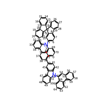 c1ccc(N(c2ccc3c(c2)C2(c4ccccc4-c4ccccc42)c2ccccc2-3)c2ccccc2-c2ccc(-c3ccc4c(c3)c3ccccc3n4-c3cc4ccccc4c4ccccc34)cc2)cc1